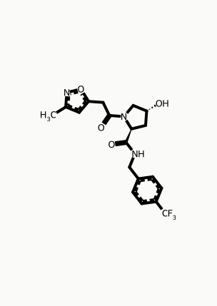 Cc1cc(CC(=O)N2C[C@H](O)C[C@H]2C(=O)NCc2ccc(C(F)(F)F)cc2)on1